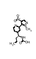 C=CC[C@H](NC(=O)O)c1ccnc(-c2c([N+](=O)[O-])cnn2C)c1